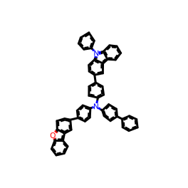 c1ccc(-c2ccc(N(c3ccc(-c4ccc5oc6ccccc6c5c4)cc3)c3ccc(-c4ccc5c(c4)c4ccccc4n5-c4ccccc4)cc3)cc2)cc1